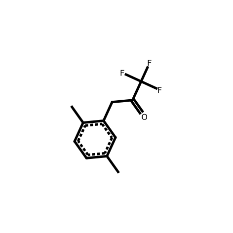 Cc1ccc(C)c(CC(=O)C(F)(F)F)c1